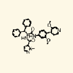 COc1cnccc1-c1ccc(NC(=O)[C@@H](NC(=O)c2ccnn2C)C(c2ccccc2)c2ccccc2)cc1OC